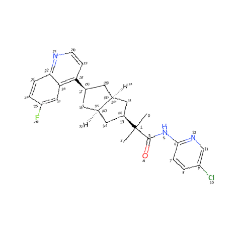 CC(C)(C(=O)Nc1ccc(Cl)cn1)[C@H]1C[C@H]2C[C@@H](c3ccnc4ccc(F)cc34)C[C@H]2C1